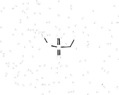 O=S(=O)(CF)OF